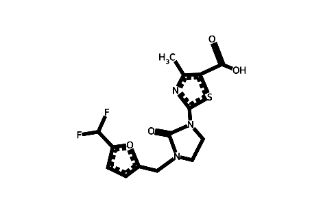 Cc1nc(N2CCN(Cc3ccc(C(F)F)o3)C2=O)sc1C(=O)O